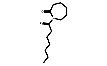 CCCCCCC(=O)N1CCCCCC1=O